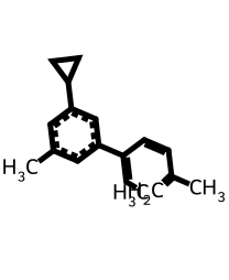 C=C(C)/C=C\C(=C/C)c1cc(C)cc(C2CC2)c1